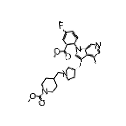 COC(=O)c1cc(F)ccc1-n1cc(C[C@@H]2CCN(CC3CCN(C(=O)OC)CC3)C2)c2c(C)cncc21